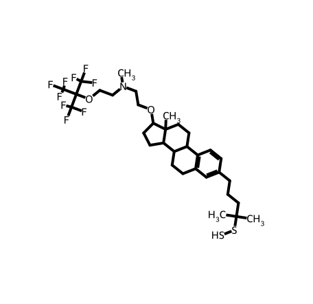 CN(CCOC1CCC2C3CCc4cc(CCCC(C)(C)SS)ccc4C3CCC12C)CCOC(C(F)(F)F)(C(F)(F)F)C(F)(F)F